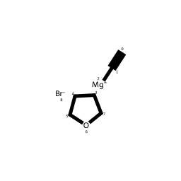 C#[C][Mg+].C1CCOC1.[Br-]